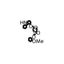 COc1ccccc1OCCN1CCC(COc2cccc3[nH]c4ccccc4c23)OCC1=O